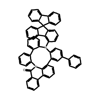 O=c1c2ccccc2c2cccc3c2n1-c1ccccc1-c1ccccc1N(c1cccc2c1-c1ccccc1C21c2ccccc2-c2ccccc21)c1ccc(-c2ccccc2)cc1-3